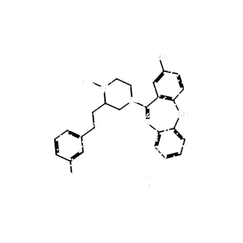 CC(C)c1ccc2c(c1)C(N1CCN(C)C(CCc3cccc(F)c3)C1)=Nc1ccccc1N2.Cl.Cl